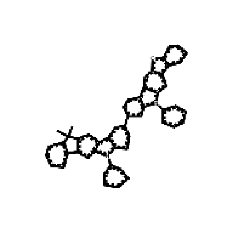 CC1(C)c2ccccc2-c2cc3c(cc21)c1cc(-c2ccc4c5cc6oc7ccccc7c6cc5n(-c5ccccc5)c4c2)ccc1n3-c1ccccc1